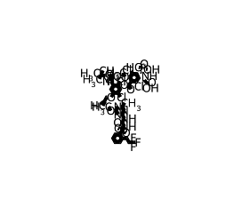 C#CCOc1cc(-n2nc(C(C)(C)C)oc2=O)c(Cl)cc1Cl.COc1c(Cl)ccc(Cl)c1C(=O)O.COc1nc(C)nc(NC(=O)NS(=O)(=O)c2ccccc2CCC(F)(F)F)n1.O=C(O)CNCP(=O)(O)O